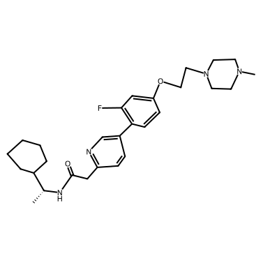 C[C@@H](NC(=O)Cc1ccc(-c2ccc(OCCN3CCN(C)CC3)cc2F)cn1)C1CCCCC1